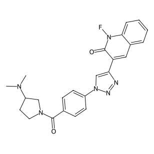 CN(C)C1CCN(C(=O)c2ccc(-n3cc(-c4cc5ccccc5n(F)c4=O)nn3)cc2)C1